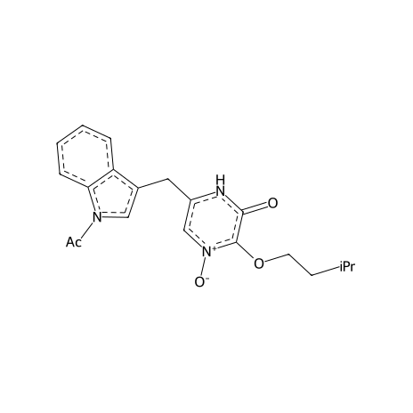 CC(=O)n1cc(Cc2c[n+]([O-])c(OCCC(C)C)c(=O)[nH]2)c2ccccc21